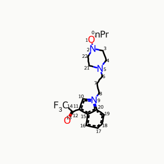 CCCON1CCN(CCCn2cc(C(=O)C(F)(F)F)c3ccccc32)CC1